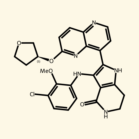 COc1c(Cl)cccc1Nc1c(-c2ccnc3ccc(O[C@H]4CCOC4)nc23)[nH]c2c1C(=O)NCC2